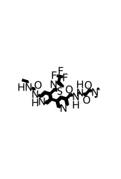 CCNC(=O)Nc1cc(-c2nc(C(F)(F)F)cs2)c(-c2cncc(C(=O)NNC(=O)C(=O)N(C)C)c2)cn1